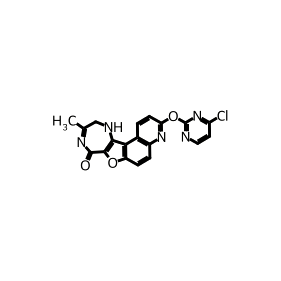 CC1=NC(=O)c2oc3ccc4nc(Oc5nccc(Cl)n5)ccc4c3c2NC1